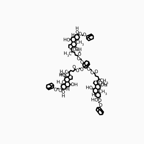 C[C@H](CCC(=O)OCOC12CC3CC(OCOC(=O)CC[C@@H](C)[C@H]4CCC5C6C(C[C@H](O)[C@@]54C)[C@@]4(C)CC[C@](O)(OCOC5C7CC8CC(C7)CC5C8)C[C@H]4C[C@H]6O)(C1)CC(OCOC(=O)CC[C@@H](C)[C@H]1CCC4C5C(C[C@H](O)[C@@]41C)[C@@]1(C)CC[C@](O)(OCOC4C6CC7CC(C6)CC4C7)C[C@H]1C[C@H]5O)(C3)C2)[C@H]1CCC2C3C(C[C@H](O)[C@@]21C)[C@@]1(C)CC[C@](O)(OCOC2C4CC5CC(C4)CC2C5)C[C@H]1C[C@H]3O